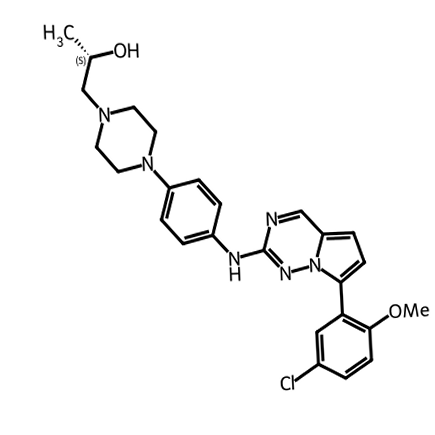 COc1ccc(Cl)cc1-c1ccc2cnc(Nc3ccc(N4CCN(C[C@H](C)O)CC4)cc3)nn12